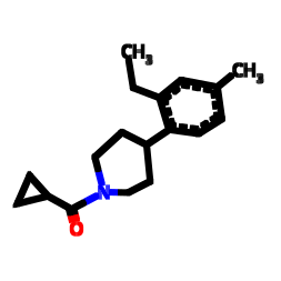 CCc1cc(C)ccc1C1CCN(C(=O)C2CC2)CC1